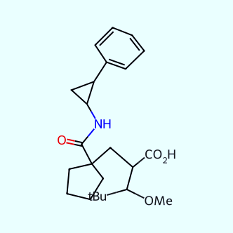 COC(C(CC1(C(=O)NC2CC2c2ccccc2)CCCC1)C(=O)O)C(C)(C)C